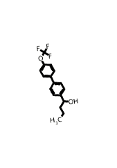 CCCC(O)c1ccc(-c2ccc(OC(F)(F)F)cc2)cc1